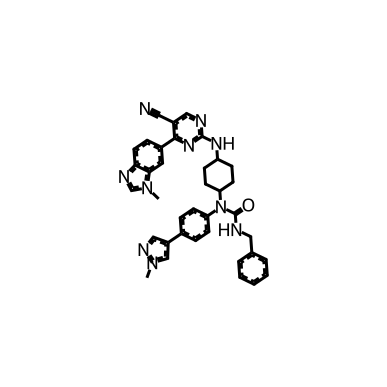 Cn1cc(-c2ccc(N(C(=O)NCc3ccccc3)C3CCC(Nc4ncc(C#N)c(-c5ccc6ncn(C)c6c5)n4)CC3)cc2)cn1